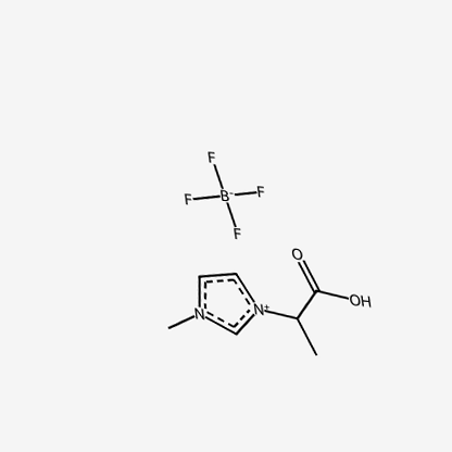 CC(C(=O)O)[n+]1ccn(C)c1.F[B-](F)(F)F